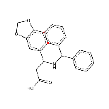 O=C(O)CC(NC(c1ccccc1)c1ccccc1)c1ccc2c(c1)OCO2